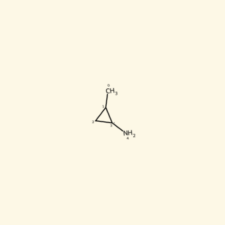 CC1C[C]1N